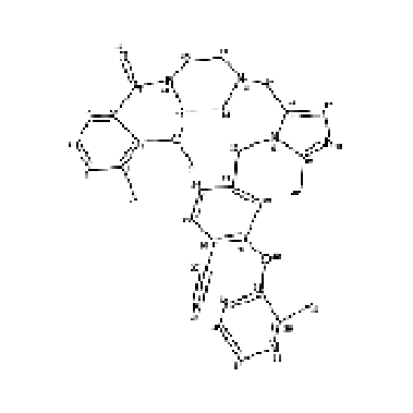 COc1c(C)cccc1C(=O)N1CCN(Cc2cnc(C)n2Cc2ccc(C#N)c(Oc3cccnc3C)c2)CC1